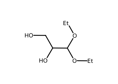 CCOC(OCC)C(O)CO